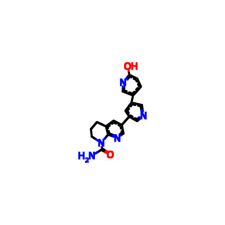 NC(=O)N1CCCc2cc(-c3cncc(-c4ccc(O)nc4)c3)cnc21